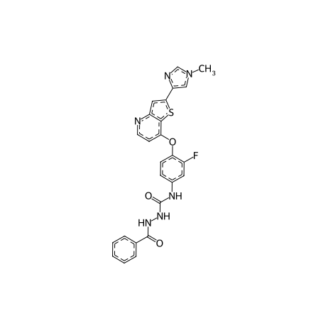 Cn1cnc(-c2cc3nccc(Oc4ccc(NC(=O)NNC(=O)c5ccccc5)cc4F)c3s2)c1